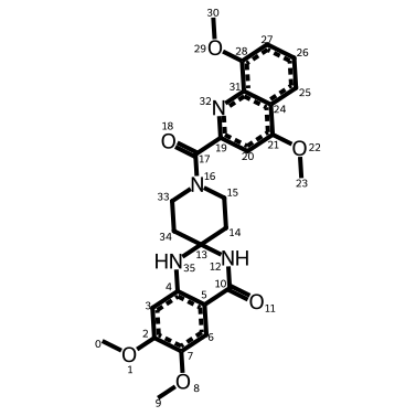 COc1cc2c(cc1OC)C(=O)NC1(CCN(C(=O)c3cc(OC)c4cccc(OC)c4n3)CC1)N2